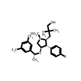 C[C@@H](O[C@H]1CN(C(=O)O)[C@@H](CC(C)(C)CO)[C@@H]1c1ccc(F)cc1)c1cc(C(F)(F)F)cc(C(F)(F)F)c1